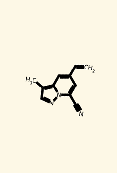 C=Cc1cc(C#N)n2ncc(C)c2c1